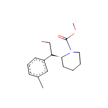 Cc1cccc(C(CO)[C@@H]2CCCCN2C(=O)OC(C)(C)C)c1